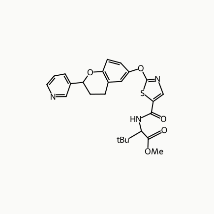 COC(=O)C(NC(=O)c1cnc(Oc2ccc3c(c2)CCC(c2cccnc2)O3)s1)C(C)(C)C